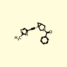 Cc1nc(C#C[C@]23CC2CN(C(=O)c2ccccc2)C3)cs1